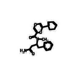 CN(C(=O)C1=COC=C(C2=CC=CCC2)O1)C(CC(N)=O)Cc1ccccc1